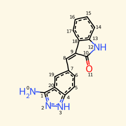 Nc1n[nH]c2ccc(C=C3C(=O)Nc4ccccc43)cc12